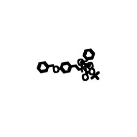 CC(C)(C)OC(=O)N(CCc1ccc(OCc2ccccc2)cc1)S(=O)(=O)c1ccccc1